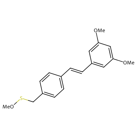 COSCc1ccc(C=Cc2cc(OC)cc(OC)c2)cc1